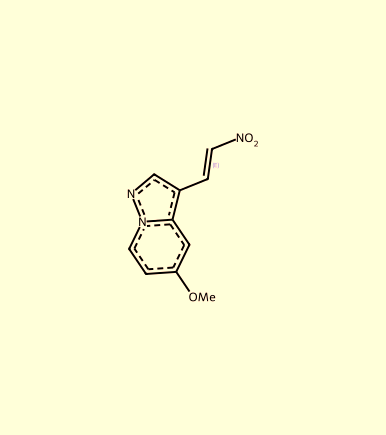 COc1ccn2ncc(/C=C/[N+](=O)[O-])c2c1